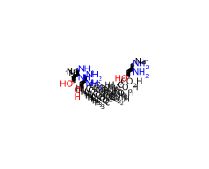 CC(=O)O.CC(=O)O.CC(=O)O.CC(=O)O.CC(=O)O.CC(=O)O.CC(=O)O.CC(=O)O.CC(=O)O.CC(=O)O.CC(=O)O.CC(=O)O.NCC(N)CCO.NCC(N)CCO.NCC(N)CCO.[Na].[Na].[Na]